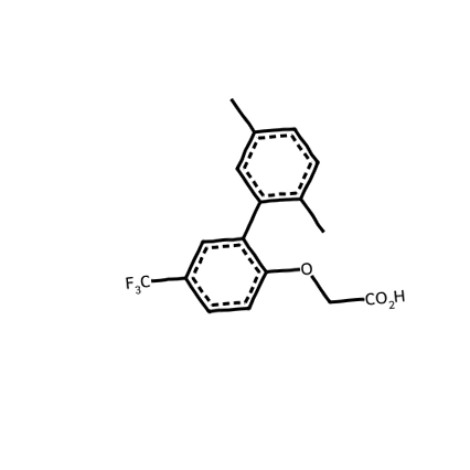 Cc1ccc(C)c(-c2cc(C(F)(F)F)ccc2OCC(=O)O)c1